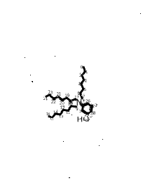 CCCCCCCC[N+](CCCCCCCC)(CCCCCCCC)c1ccccc1.[OH-]